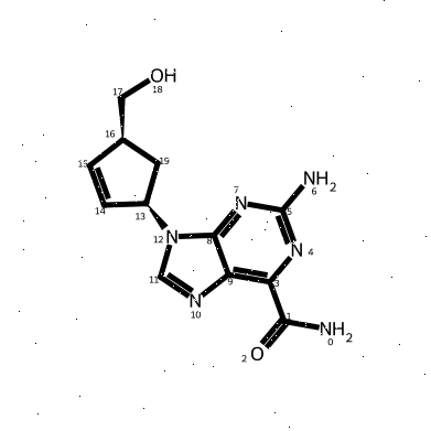 NC(=O)c1nc(N)nc2c1ncn2[C@H]1C=C[C@@H](CO)C1